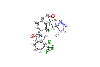 Cn1cnnc1C(F)C1(c2cccc(N3Cc4c(cccc4C(F)(F)F)C3=O)c2)COC1